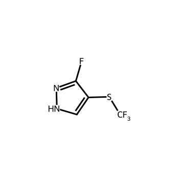 Fc1n[nH]cc1SC(F)(F)F